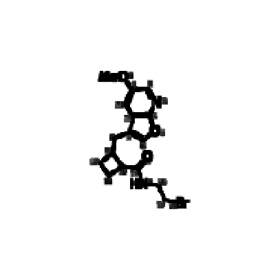 COc1cnc2occ(CC3CCC3C(=O)NCCBr)c2c1